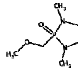 COCP1(=O)N(C)CCN1C